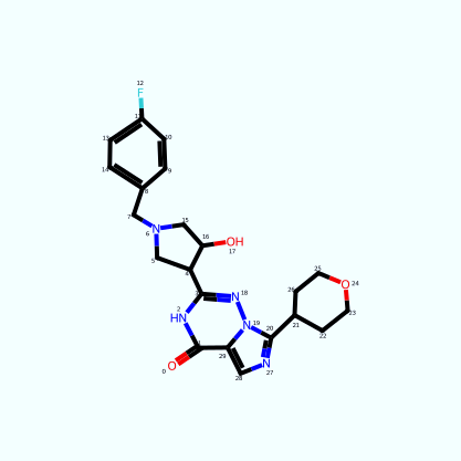 O=c1[nH]c(C2CN(Cc3ccc(F)cc3)CC2O)nn2c(C3CCOCC3)ncc12